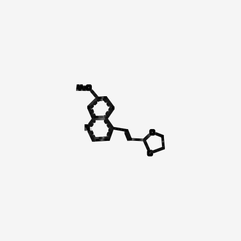 COc1ccc2c(C=CC3OCCO3)ccnc2c1